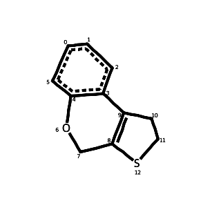 c1ccc2c(c1)OCC1=C2CCS1